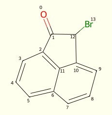 O=C1c2cccc3cccc(c23)C1Br